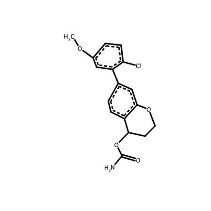 COc1ccc(Cl)c(-c2ccc3c(c2)OCCC3OC(N)=O)c1